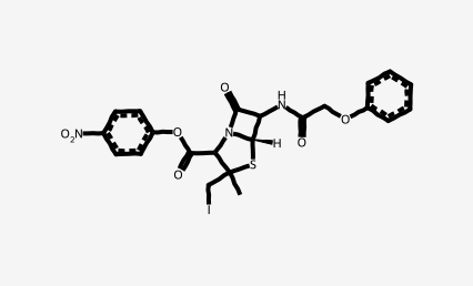 CC1(CI)S[C@H]2C(NC(=O)COc3ccccc3)C(=O)N2C1C(=O)Oc1ccc([N+](=O)[O-])cc1